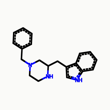 c1ccc(CN2CCNC(Cc3c[nH]c4ccccc34)C2)cc1